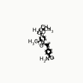 CC[C@H]1CN(C(=O)OC(C)(C)C)CCN1C(=O)[C@@H]1C[C@H]1c1ccc(C(N)=O)cc1